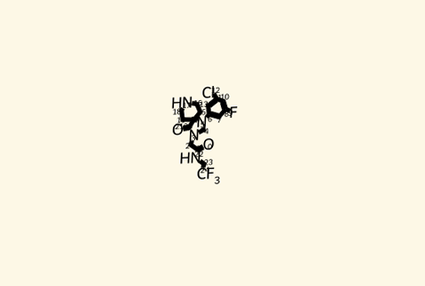 O=C(CN1CN(c2cc(F)cc(Cl)c2)C2(CCNCC2)C1=O)NCC(F)(F)F